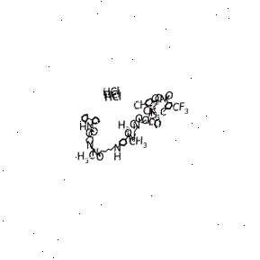 CN(CCN1CCC(OC(=O)Nc2ccccc2-c2ccccc2)CC1)C(=O)CCCCCNc1ccc(C(=O)N(C)CCCN(C)C(=O)CO[C@H]2Cc3ccccc3C23CCN(CC[C@]2(c4ccc(Cl)c(Cl)c4)CN(C(=O)c4cc(C(F)(F)F)cc(C(F)(F)F)c4)CCO2)CC3)cc1.Cl.Cl.Cl